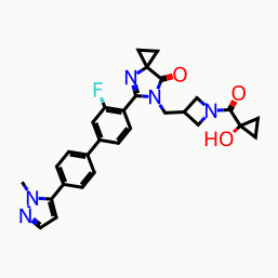 Cn1nccc1-c1ccc(-c2ccc(C3=NC4(CC4)C(=O)N3CC3CN(C(=O)C4(O)CC4)C3)c(F)c2)cc1